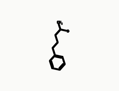 CC([S])CCCc1ccccc1